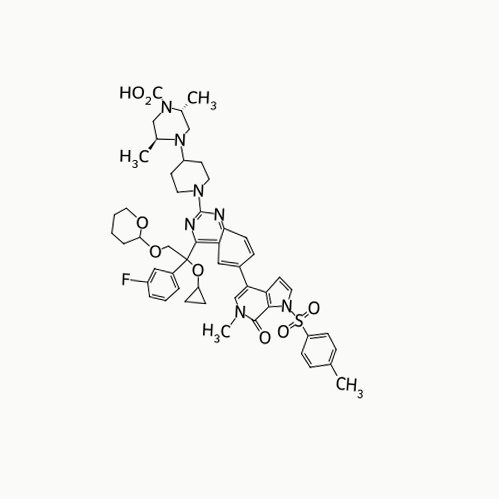 Cc1ccc(S(=O)(=O)n2ccc3c(-c4ccc5nc(N6CCC(N7C[C@@H](C)N(C(=O)O)C[C@@H]7C)CC6)nc(C(COC6CCCCO6)(OC6CC6)c6cccc(F)c6)c5c4)cn(C)c(=O)c32)cc1